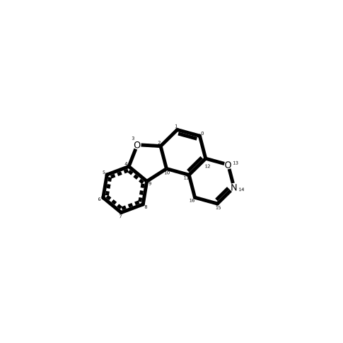 C1=CC2Oc3ccccc3C2C2=C1ON=CC2